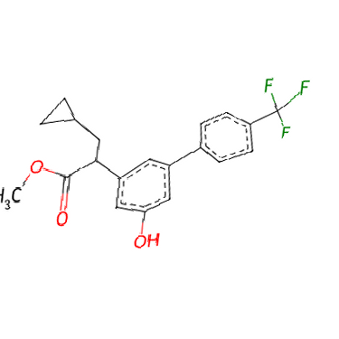 COC(=O)C(CC1CC1)c1cc(O)cc(-c2ccc(C(F)(F)F)cc2)c1